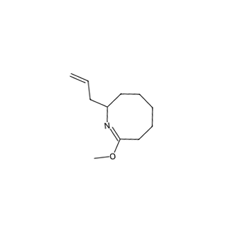 C=CCC1CCCCC/C(OC)=N\1